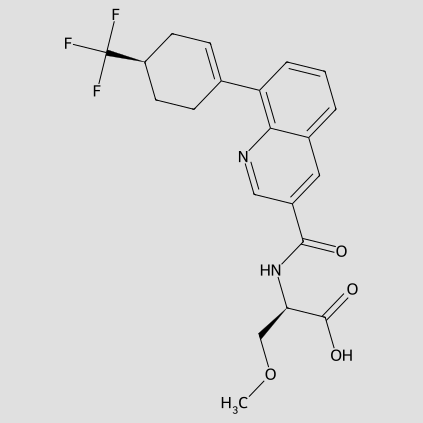 COC[C@@H](NC(=O)c1cnc2c(C3=CC[C@H](C(F)(F)F)CC3)cccc2c1)C(=O)O